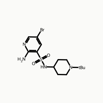 CC(C)(C)N1CCC(NS(=O)(=O)c2cc(Br)cnc2N)CC1